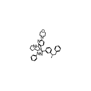 C[C@H](Cc1ccccc1)c1cccc(C2=NN(c3ccccc3)[C@H]([C@H]3CCCN3)N2c2ccc(N3CCOCC3)nc2)c1